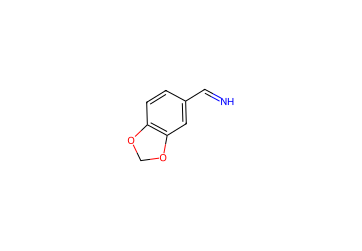 N=Cc1ccc2c(c1)OCO2